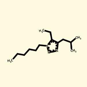 CCCCCCn1nnc(CC(C)C)c1CC